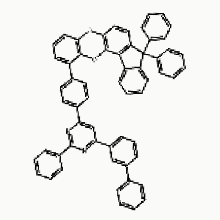 c1ccc(-c2cccc(-c3cc(-c4ccc(-c5cccc6c5Oc5c(ccc7c5-c5ccccc5C7(c5ccccc5)c5ccccc5)O6)cc4)nc(-c4ccccc4)n3)c2)cc1